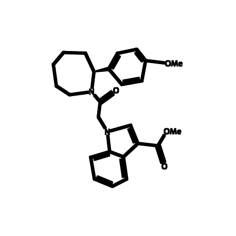 COC(=O)c1cn(CC(=O)N2CCCCC[C@H]2c2ccc(OC)cc2)c2ccccc12